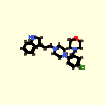 Clc1ccc(N2CCN(CCc3c[nH]c4ccccc34)CC2)c(N2CCOCC2)c1